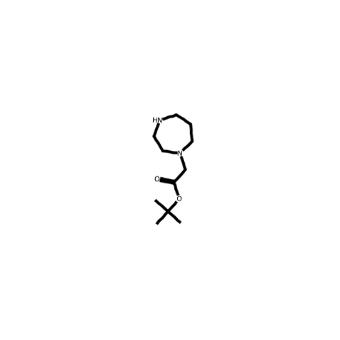 CC(C)(C)OC(=O)CN1CCCNCC1